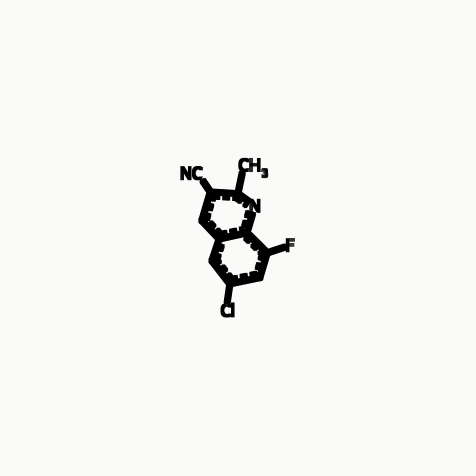 Cc1nc2c(F)cc(Cl)cc2cc1C#N